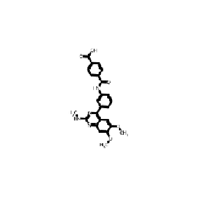 CNc1nc(-c2cccc(NC(=O)c3ccc(C(=O)O)cc3)c2)c2cc(OC)c(OC)cc2n1